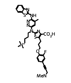 CNCC#Cc1ccc(OCCCc2sc(N(CCCC[N+](C)(C)C)c3cc(C)c(Nc4nc5ccccc5s4)nn3)nc2C(=O)O)c(F)c1